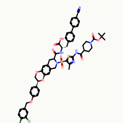 Cc1nc(NC(=O)C2CCN(C(=O)OC(C)(C)C)CC2)sc1S(=O)(=O)N1Cc2cc3c(cc2CC1C(=O)N[C@@H](Cc1ccc(-c2ccc(C#N)cc2)cc1)C(=O)O)OC[C@H](c1ccc(OCc2ccc(Cl)c(Cl)c2)cc1)O3